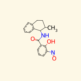 CC1CCc2ccccc2C1NC(=O)c1cccc(N=O)c1O